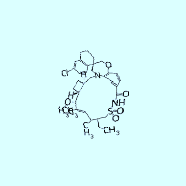 CC[C@@H]1CS(=O)(=O)NC(=O)c2ccc3c(c2)N(C[C@@H]2CC[C@H]2[C@@H](OC)/C(C)=C/C1C)C[C@@]1(CCCc2cc(Cl)ccc21)CO3